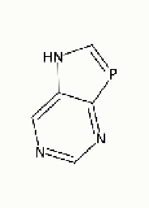 c1ncc2[nH]cpc2n1